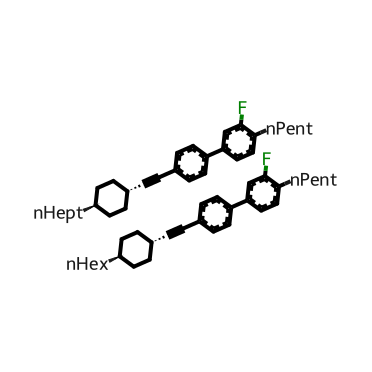 CCCCCCC[C@H]1CC[C@H](C#Cc2ccc(-c3ccc(CCCCC)c(F)c3)cc2)CC1.CCCCCC[C@H]1CC[C@H](C#Cc2ccc(-c3ccc(CCCCC)c(F)c3)cc2)CC1